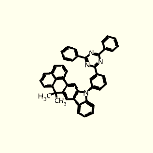 CC1(C)c2cc3c4ccccc4n(-c4cccc(-c5nc(-c6ccccc6)nc(-c6ccccc6)n5)c4)c3cc2-c2cccc3cccc1c23